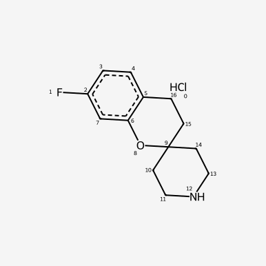 Cl.Fc1ccc2c(c1)OC1(CCNCC1)CC2